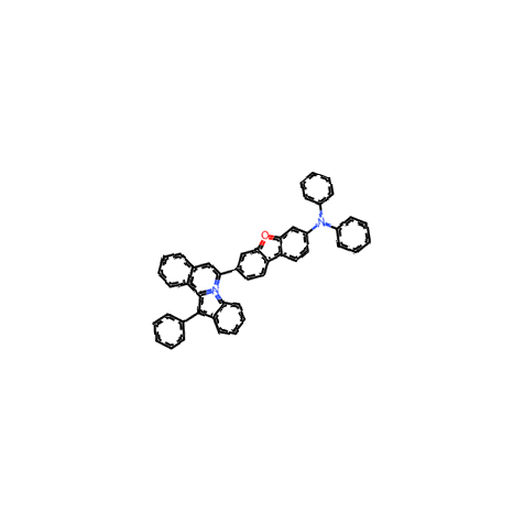 c1ccc(-c2c3ccccc3n3c(-c4ccc5c(c4)oc4cc(N(c6ccccc6)c6ccccc6)ccc45)cc4ccccc4c23)cc1